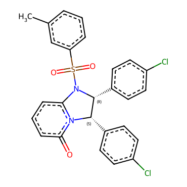 Cc1cccc(S(=O)(=O)N2c3cccc(=O)n3[C@@H](c3ccc(Cl)cc3)[C@H]2c2ccc(Cl)cc2)c1